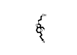 N#CCCC1CCC2O[C@@H](CCCO)CC2(CI)O1